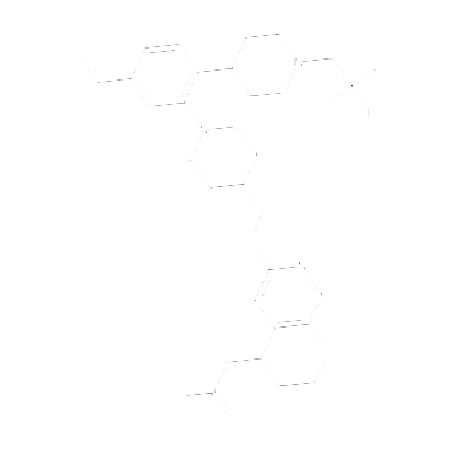 CCc1ccc(C2CCN(CC(F)(F)F)CC2)c(N2CCC(COc3cc4c(cn3)OCCC4CC(=O)O)CC2)c1